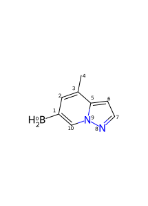 Bc1cc(C)c2ccnn2c1